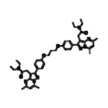 CCN(CC)C(=O)Cc1c(-c2ccc(OCCCOc3ccc(-c4nn5c(C)cc(C)nc5c4CC(=O)N(CC)CC)cc3)cc2)nn2c(C)cc(C)nc12